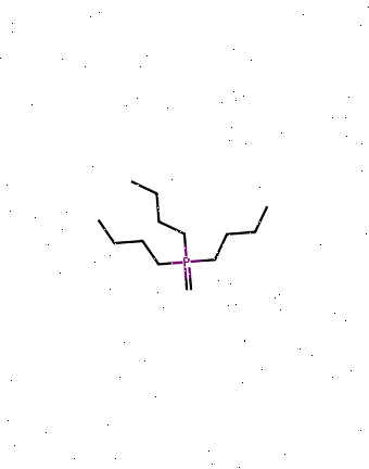 C=P(CCCC)(CCCC)CCCC